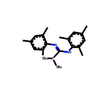 Cc1cc(C)c(/N=C(/Nc2c(C)cc(C)cc2C)P(C(C)(C)C)C(C)(C)C)c(C)c1